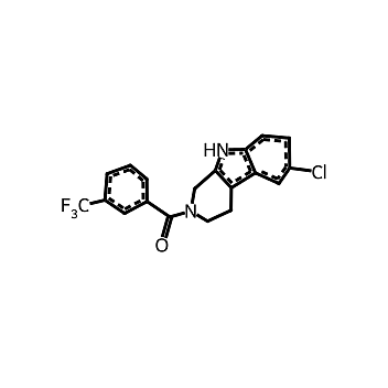 O=C(c1cccc(C(F)(F)F)c1)N1CCc2c([nH]c3ccc(Cl)cc23)C1